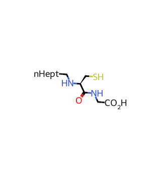 CCCCCCCCN[C@@H](CS)C(=O)NCC(=O)O